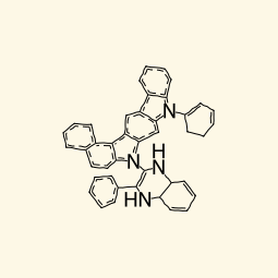 C1=CCCC(n2c3ccccc3c3cc4c5c6ccccc6ccc5n(C5=C(c6ccccc6)NC6C=CC=CC6N5)c4cc32)=C1